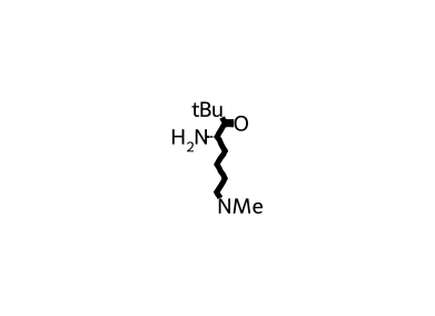 CNCCCC[C@H](N)C(=O)C(C)(C)C